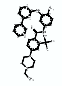 CCN1CCN(c2ccc(C(=O)Nc3ccc(C)c(Nc4nccc(-c5cccnc5)n4)c3)c(C(F)(F)F)c2)CC1